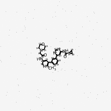 Cc1ncc(NC(=O)CN2CCOCC2)cc1-c1cccc(-c2cc(NC(=O)C3CC3)ncn2)c1